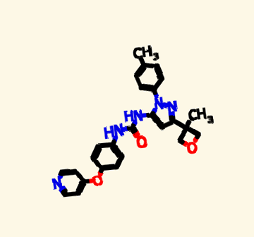 Cc1ccc(-n2nc(C3(C)COC3)cc2NC(=O)Nc2ccc(Oc3ccncc3)cc2)cc1